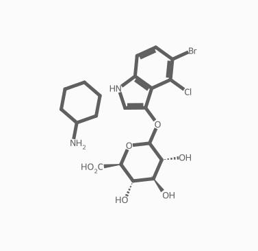 NC1CCCCC1.O=C(O)[C@H]1OC(Oc2c[nH]c3ccc(Br)c(Cl)c23)[C@H](O)[C@@H](O)[C@@H]1O